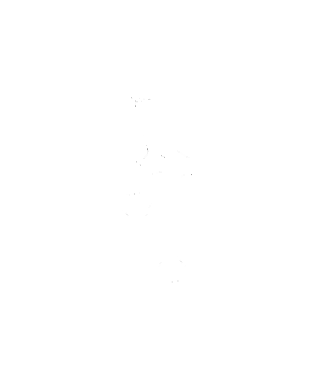 CN[C@H]1C[C@@H](c2nc(-c3cccc(OCc4ccccc4)c3)c3c(Cl)nccn32)C1